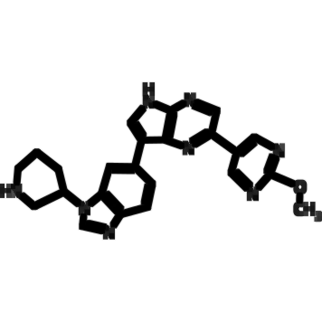 COc1ncc(-c2cnc3[nH]cc(-c4ccc5ncn(C6CCCNC6)c5c4)c3n2)cn1